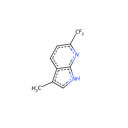 Cc1c[nH]c2nc(C(F)(F)F)ccc12